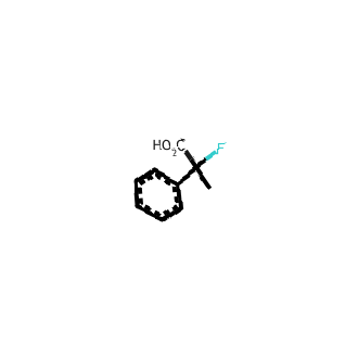 CC(F)(C(=O)O)c1ccccc1